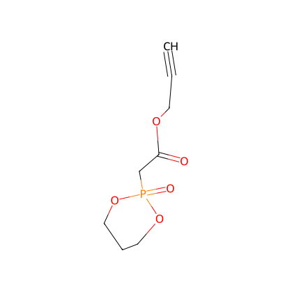 C#CCOC(=O)CP1(=O)OCCCO1